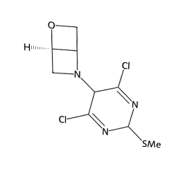 CSC1N=C(Cl)C(N2C[C@H]3OCC32)C(Cl)=N1